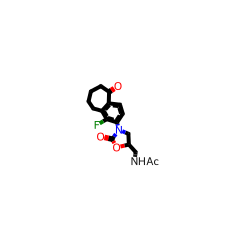 CC(=O)NCC1CN(c2ccc3c(c2F)CCCCC3=O)C(=O)O1